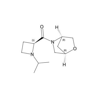 CC(C)N1CC[C@H]1C(=O)N1C[C@H]2C[C@@H]1CO2